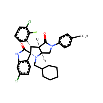 O=C(O)c1ccc(N2C[C@@H]3[C@H](C2=O)[C@@H](c2cccc(Cl)c2F)[C@@]2(C(=O)Nc4cc(Cl)ccc42)N3CC2CCCCC2)cc1